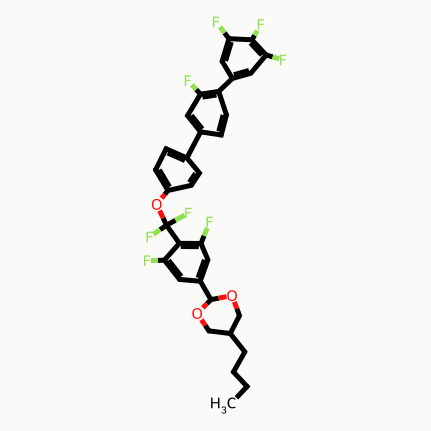 CCCCC1COC(c2cc(F)c(C(F)(F)Oc3ccc(-c4ccc(-c5cc(F)c(F)c(F)c5)c(F)c4)cc3)c(F)c2)OC1